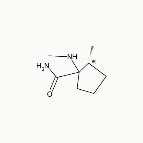 CNC1(C(N)=O)CCC[C@H]1C